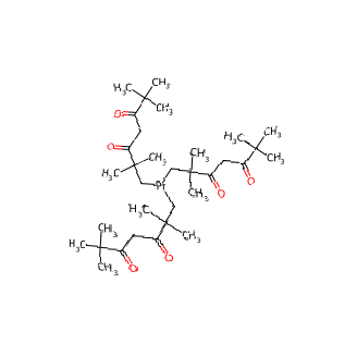 CC(C)(C)C(=O)CC(=O)C(C)(C)[CH2][Pr]([CH2]C(C)(C)C(=O)CC(=O)C(C)(C)C)[CH2]C(C)(C)C(=O)CC(=O)C(C)(C)C